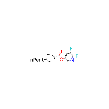 CCCCC[C@H]1CC[C@H](C(=O)Oc2cnc(F)c(F)c2)CC1